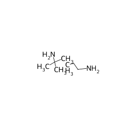 CC(C)(C)N.CCCN